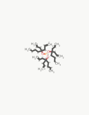 C=CCC(CC=C)(CCCC)OP(OC(CC=C)(CC=C)CCCC)OC(CC=C)(CC=C)CCCC